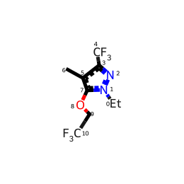 CCn1nc(C(F)(F)F)c(C)c1OCC(F)(F)F